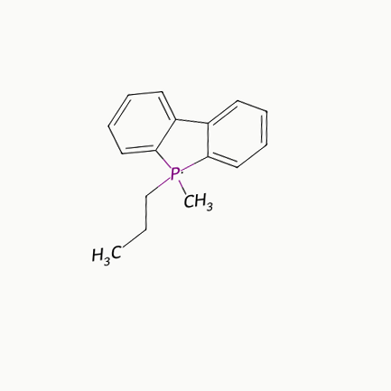 CCC[P]1(C)c2ccccc2-c2ccccc21